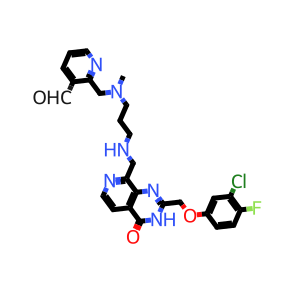 CN(CCCNCc1nccc2c(=O)[nH]c(COc3ccc(F)c(Cl)c3)nc12)Cc1ncccc1C=O